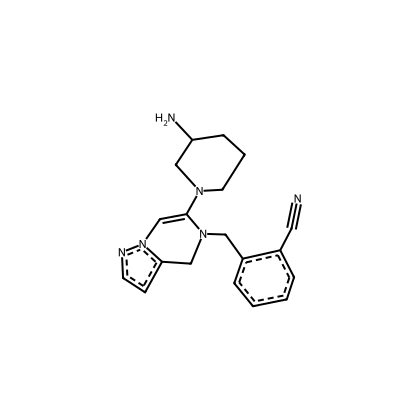 N#Cc1ccccc1CN1Cc2ccnn2C=C1N1CCCC(N)C1